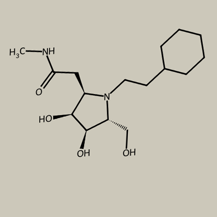 CNC(=O)C[C@@H]1[C@H](O)[C@H](O)[C@@H](CO)N1CCC1CCCCC1